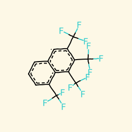 FC(F)(F)c1[c]c2cccc(C(F)(F)F)c2c(C(F)(F)F)c1C(F)(F)F